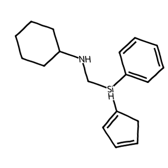 C1=CCC([SiH](CNC2CCCCC2)c2ccccc2)=C1